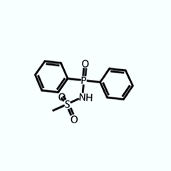 CS(=O)(=O)NP(=O)(c1ccccc1)c1ccccc1